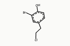 Oc1ccc(CCCl)cc1Br